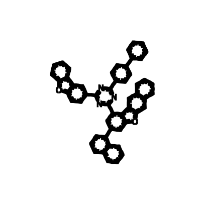 c1ccc(-c2ccc(-c3nc(-c4ccc5oc6ccccc6c5c4)nc(-c4cc(-c5cccc6ccccc56)cc5oc6cc7ccccc7cc6c45)n3)cc2)cc1